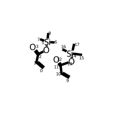 C=CC(=O)O[Si](C)(C)C.C=CC(=O)O[Si](C)(C)C